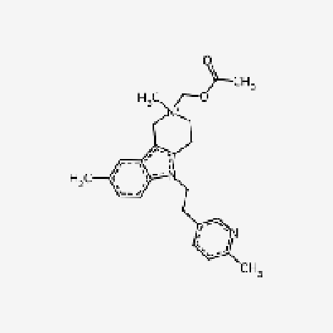 CC(=O)OC[N+]1(C)CCc2c(c3cc(C)ccc3n2CCc2ccc(C)nc2)C1